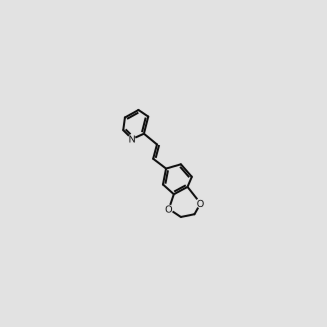 C(=C\c1ccccn1)/c1ccc2c(c1)OCCO2